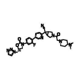 CN(C)C1CCN(CC(=O)N2CC3C(C2)C3(C#N)c2ccc(-c3ccc(N4C[C@H](Cn5ccnn5)OC4=O)cc3F)cn2)CC1